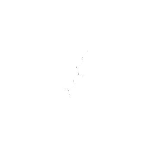 O=C(O)CCC(=O)NCCI